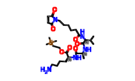 CC(C)[C@H](NC(=O)CCCCCN1C(=O)C=CC1=O)C(=O)N[C@@H](C)C(=O)N[C@@H](CCCCN)C(=O)OCCS(C)(C)C